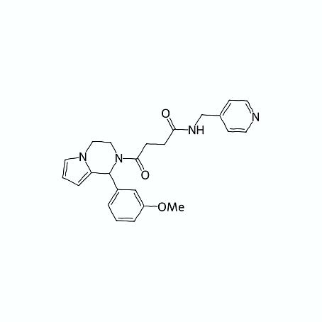 COc1cccc(C2c3cccn3CCN2C(=O)CCC(=O)NCc2ccncc2)c1